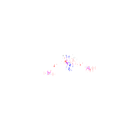 COc1ccccc1Oc1c(NS(=O)(=O)c2ccc(C(C)(C)COC(=O)CCCON(O)O)cc2)nc(-c2ncccn2)nc1OCCOC(=O)CCCON(O)O